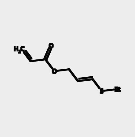 C=CC(=O)OCC=CSCC